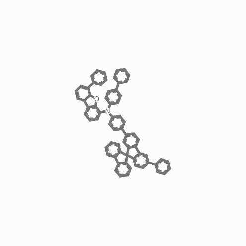 C1=CC2c3cccc(N(c4ccc(-c5ccccc5)cc4)c4ccc(-c5ccc6c(c5)C5(c7ccccc7-c7ccccc75)c5ccc(-c7ccccc7)cc5-6)cc4)c3OC2C(c2ccccc2)=C1